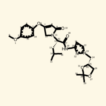 COc1ccc(OC2=CC(=O)N([C@@H](CC(C)C)C(=O)Nc3ccn(C[C@@H]4COC(C)(C)O4)n3)C2)cc1